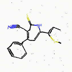 C/C=C(\SC)c1cc(-c2ccccc2)c(C#N)c(=S)[nH]1